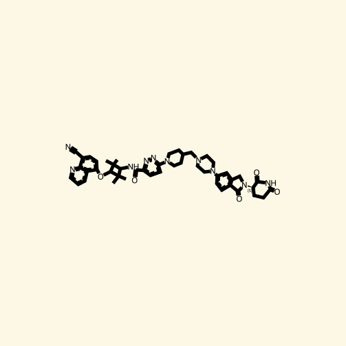 CC1(C)C(NC(=O)c2ccc(N3CCC(CN4CCN(c5ccc6c(c5)CN([C@H]5CCC(=O)NC5=O)C6=O)CC4)CC3)nn2)C(C)(C)C1Oc1ccc(C#N)c2ncccc12